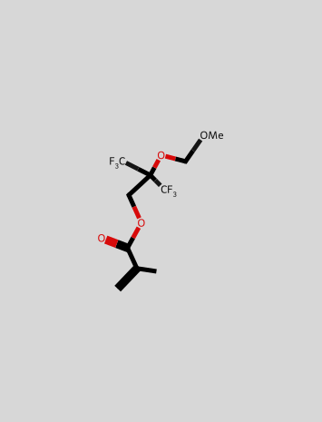 C=C(C)C(=O)OCC(OCOC)(C(F)(F)F)C(F)(F)F